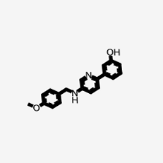 COc1ccc(CNc2ccc(-c3cccc(O)c3)nc2)cc1